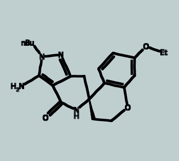 CCCCn1nc2c(c1N)C(=O)N[C@]1(CCOc3cc(OCC)ccc31)C2